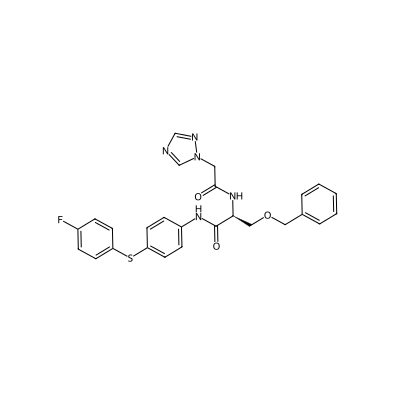 O=C(Cn1cncn1)N[C@@H](COCc1ccccc1)C(=O)Nc1ccc(Sc2ccc(F)cc2)cc1